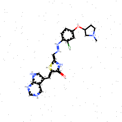 CN1CCC(Oc2ccc(N=NC=c3[nH]c(=O)c(=Cc4c[nH]c5ncncc45)s3)c(Cl)c2)C1